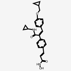 O=C(C=Cc1ccc(C(=Cc2ccc(OCC3CC3)cc2)C(=O)NC2CC2)cc1)NO